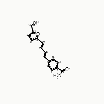 NC(=O)c1ccc(/C=C/C=C/c2ccc(CO)o2)cc1